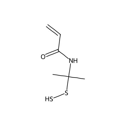 C=CC(=O)NC(C)(C)SS